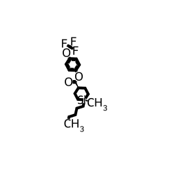 CCCCC[Si@]1(C)CC[C@@H](C(=O)Oc2ccc(OC(F)(F)F)cc2)CC1